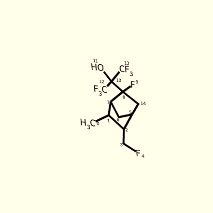 CC1C(CF)C2CC1C(F)(C(O)(C(F)(F)F)C(F)(F)F)C2